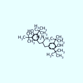 CC(C)(C)c1cc(CC(CN)Cc2cc(C(C)(C)C)c(O)c(C(C)(C)C)c2)cc(C(C)(C)C)c1O